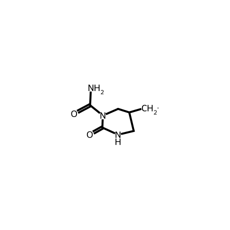 [CH2]C1CNC(=O)N(C(N)=O)C1